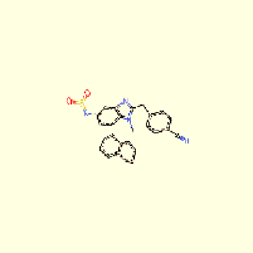 Cn1c(Cc2ccc(C#N)cc2)nc2cc(N=S(=O)=O)ccc21.c1ccc2ccccc2c1